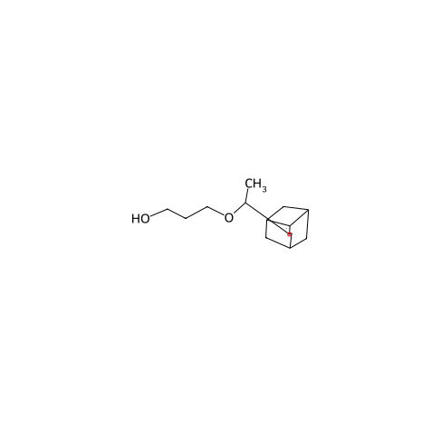 CC(OCCCO)C1=C2C3CC(C1)CC2C3